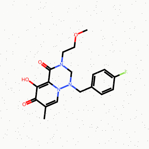 COCCN1CN(Cc2ccc(F)cc2)n2cc(C)c(=O)c(O)c2C1=O